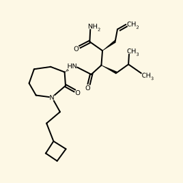 C=CC[C@H](C(N)=O)[C@@H](CC(C)C)C(=O)N[C@H]1CCCCN(CCC2CCC2)C1=O